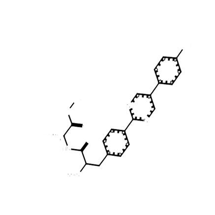 CNC(Cc1ccc(-c2ncc(-c3ccc(O)cc3)cn2)cc1)C(=O)N[C@H](C)C(=O)OC(C)(C)C